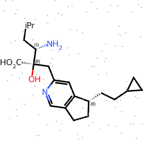 CC(C)C[C@H](N)[C@](O)(Cc1cc2c(cn1)CC[C@H]2CCC1CC1)C(=O)O